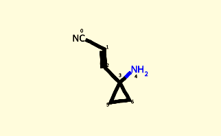 N#CC=CC1(N)CC1